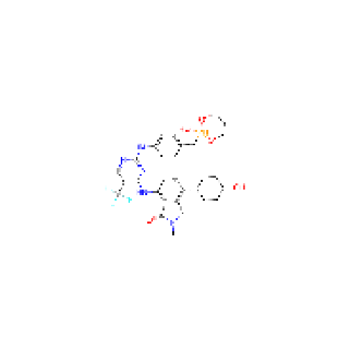 CN1Cc2c(C3CCC(O)CC3)ccc(Nc3nc(Nc4ccc(C[PH]5(O)OCCCO5)cc4)ncc3C(F)(F)F)c2C1=O